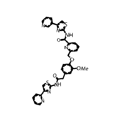 COc1cc(CC(=O)Nc2nc(-c3ccccn3)cs2)ccc1OCc1cccc(C(=O)Nc2nc(-c3cccnc3)cs2)n1